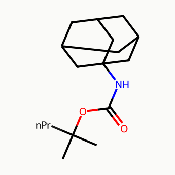 CCCC(C)(C)OC(=O)NC12CC3CC(CC(C3)C1)C2